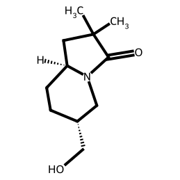 CC1(C)C[C@@H]2CC[C@@H](CO)CN2C1=O